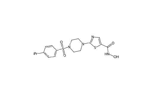 CC(C)c1ccc(S(=O)(=O)N2CCN(c3ncc(C(=O)NO)s3)CC2)cc1